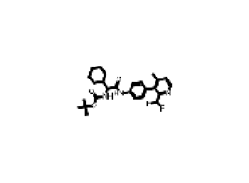 Cc1ccnc(C(F)F)c1-c1ccc(NC(=O)C(NC(=O)OC(C)(C)C)C2CCCCC2)cc1